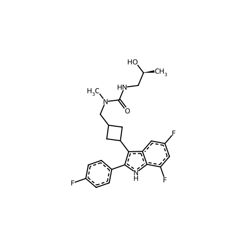 C[C@H](O)CNC(=O)N(C)CC1CC(c2c(-c3ccc(F)cc3)[nH]c3c(F)cc(F)cc23)C1